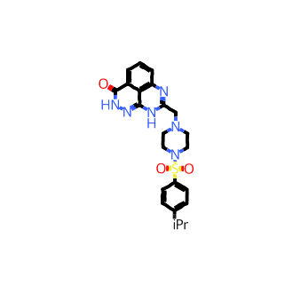 CC(C)c1ccc(S(=O)(=O)N2CCN(CC3=Nc4cccc5c(=O)[nH]nc(c45)N3)CC2)cc1